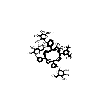 OCC1O[C@@H](Oc2cccc(-c3c4nc(c(-c5cccc(O[C@@H]6OC(CO)[C@@H](O)C(O)C6O)c5)c5ccc([nH]5)c(-c5cc(C(F)(F)F)cc(C(F)(F)F)c5)c5nc(c(-c6cccc(O[C@@H]7OC(CO)[C@@H](O)C(O)C7O)c6)c6ccc3[nH]6)C(O)C5O)C=C4)c2)C(O)C(O)[C@@H]1O